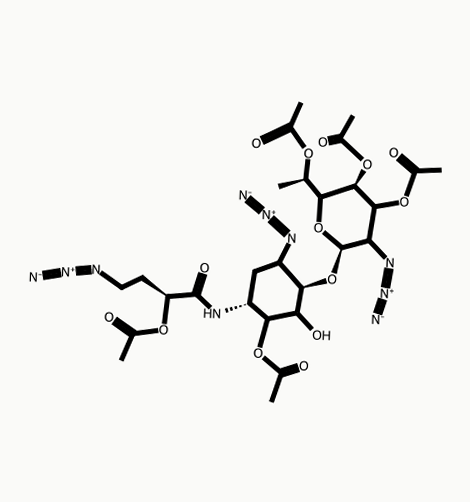 CC(=O)OC1C(N=[N+]=[N-])[C@@H](O[C@@H]2C(N=[N+]=[N-])C[C@@H](NC(=O)[C@H](CCN=[N+]=[N-])OC(C)=O)C(OC(C)=O)C2O)OC([C@@H](C)OC(C)=O)[C@H]1OC(C)=O